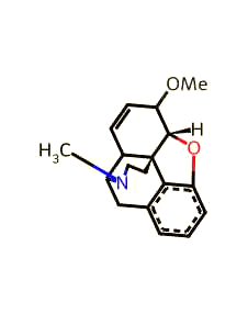 COC1C=CC2C3Cc4cccc5c4[C@@]2(CCN3C)[C@H]1O5